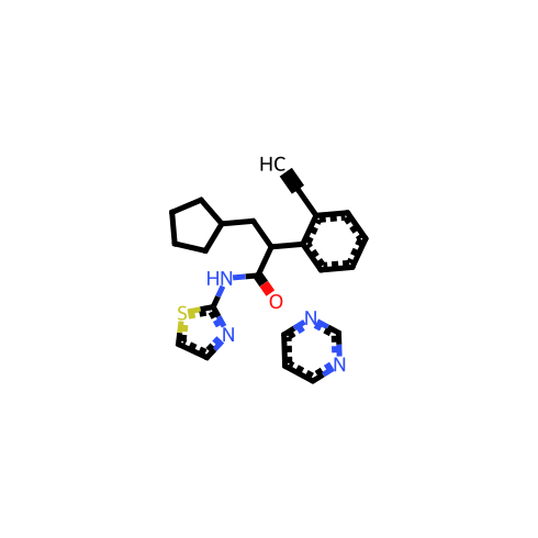 C#Cc1ccccc1C(CC1CCCC1)C(=O)Nc1nccs1.c1cncnc1